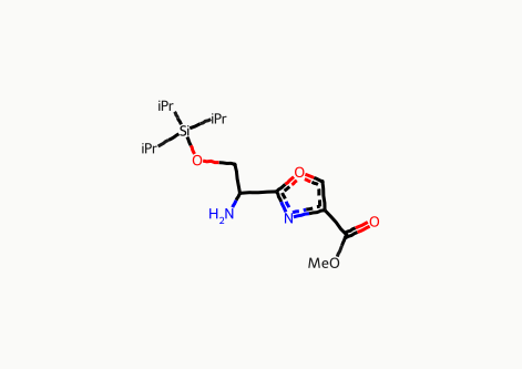 COC(=O)c1coc(C(N)CO[Si](C(C)C)(C(C)C)C(C)C)n1